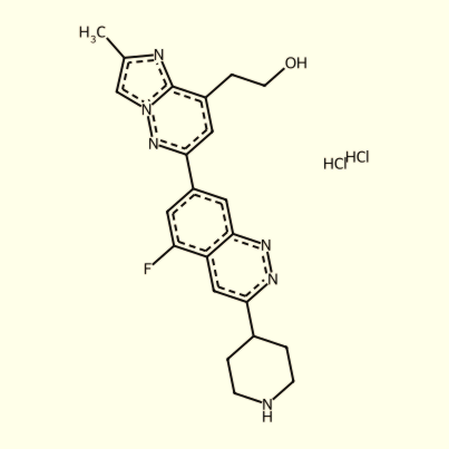 Cc1cn2nc(-c3cc(F)c4cc(C5CCNCC5)nnc4c3)cc(CCO)c2n1.Cl.Cl